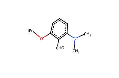 CC(C)Oc1cccc(N(C)C)c1C=O